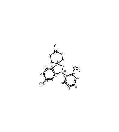 CN1CCC2(CC1)CN(c1ccccc1[N+](=O)[O-])c1cc(Cl)ccc12